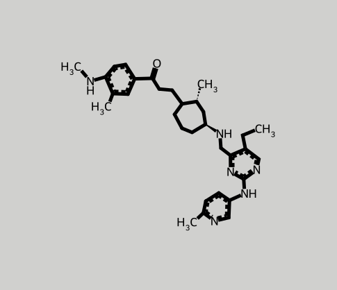 CCc1cnc(Nc2ccc(C)nc2)nc1CN[C@H]1CCCC(CCC(=O)c2ccc(NC)c(C)c2)[C@H](C)C1